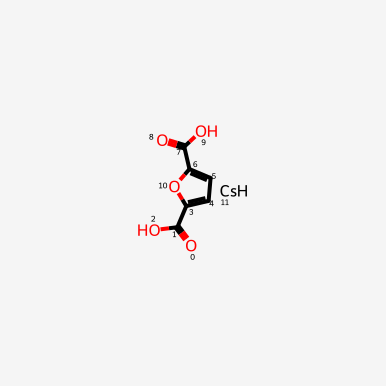 O=C(O)c1ccc(C(=O)O)o1.[CsH]